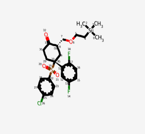 C[Si](C)(C)CCOC[C@@H]1C[C@](c2cc(F)ccc2F)(S(=O)(=O)c2ccc(Cl)cc2)CCC1=O